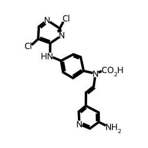 Nc1cncc(C=CN(C(=O)O)c2ccc(Nc3nc(Cl)ncc3Cl)cc2)c1